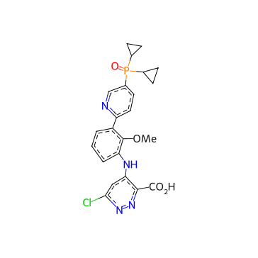 COc1c(Nc2cc(Cl)nnc2C(=O)O)cccc1-c1ccc(P(=O)(C2CC2)C2CC2)cn1